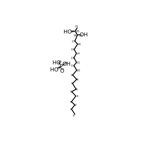 CCCCCCCCCCCCCCCCCCC(O)C(C)O.O=P(O)(O)O